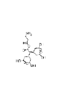 NCCNOC(=O)C(=C(CC(=O)O)CC(=O)O)C(CC(=O)O)CC(=O)O